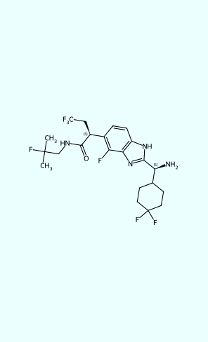 CC(C)(F)CNC(=O)[C@@H](CC(F)(F)F)c1ccc2[nH]c([C@@H](N)C3CCC(F)(F)CC3)nc2c1F